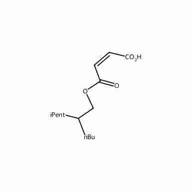 CCCCC(COC(=O)/C=C\C(=O)O)C(C)CCC